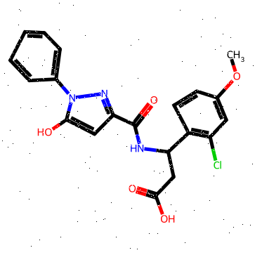 COc1ccc(C(CC(=O)O)NC(=O)c2cc(O)n(-c3ccccc3)n2)c(Cl)c1